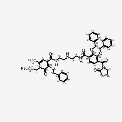 CCOC(=O)Cn1c(C)cc(C(=O)NCCNCCNC(=O)c2ccc(C(=O)N3CCSC3=S)c(OCc3ccccc3)c2OCc2ccccc2)c(OCc2ccccc2)c1=O